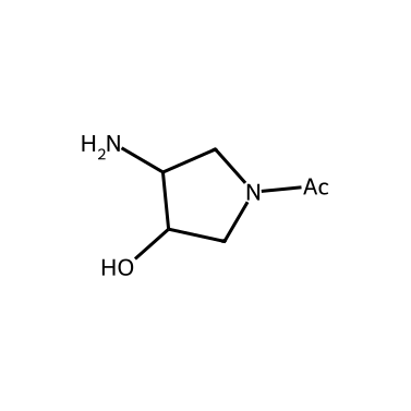 CC(=O)N1CC(N)C(O)C1